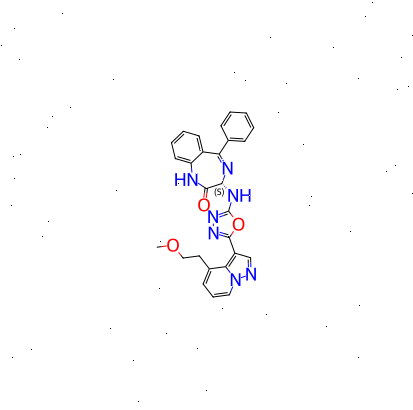 COCCc1cccn2ncc(-c3nnc(N[C@H]4N=C(c5ccccc5)c5ccccc5NC4=O)o3)c12